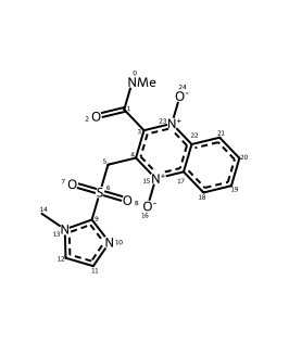 CNC(=O)c1c(CS(=O)(=O)c2nccn2C)[n+]([O-])c2ccccc2[n+]1[O-]